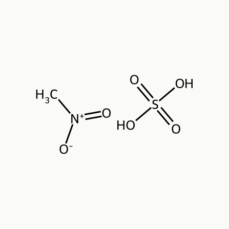 C[N+](=O)[O-].O=S(=O)(O)O